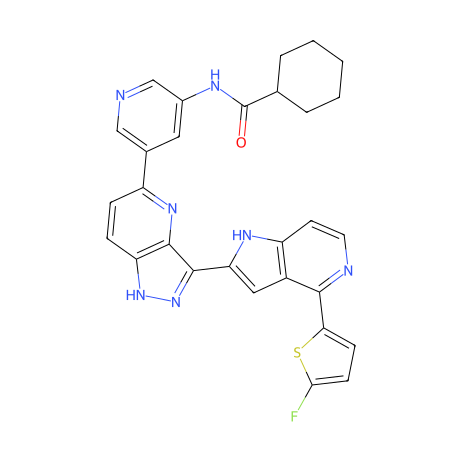 O=C(Nc1cncc(-c2ccc3[nH]nc(-c4cc5c(-c6ccc(F)s6)nccc5[nH]4)c3n2)c1)C1CCCCC1